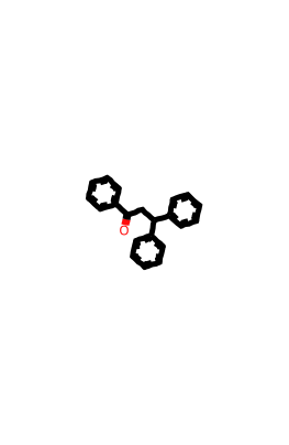 O=C(CC(c1ccccc1)c1ccccc1)c1ccccc1